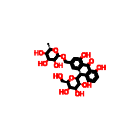 C[C@@H]1O[C@@H](OCc2cc(O)c3c(c2)[C@@H]([C@@H]2O[C@H](CO)[C@@H](O)[C@H](O)[C@H]2O)c2cccc(O)c2C3=O)[C@H](O)[C@H](O)[C@H]1O